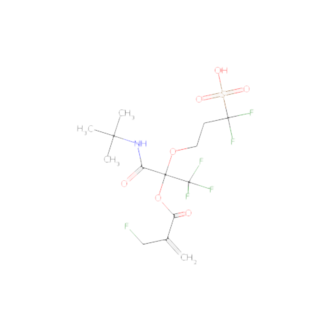 C=C(CF)C(=O)OC(OCCC(F)(F)S(=O)(=O)O)(C(=O)NC(C)(C)C)C(F)(F)F